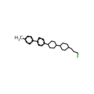 Cc1ccc(-c2ccc(C3CCC(C4CCC(CCCF)CC4)CC3)cc2)cc1